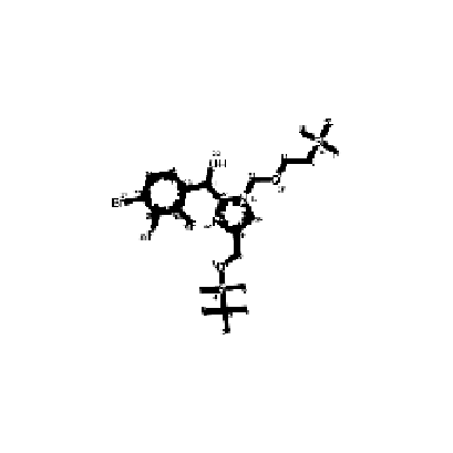 CC(C)(C)[Si](C)(C)OCc1cn(COCC[Si](C)(C)C)c(C(O)c2ccc(Br)c(F)c2F)n1